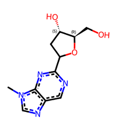 Cn1cnc2cnc(C3C[C@H](O)[C@@H](CO)O3)nc21